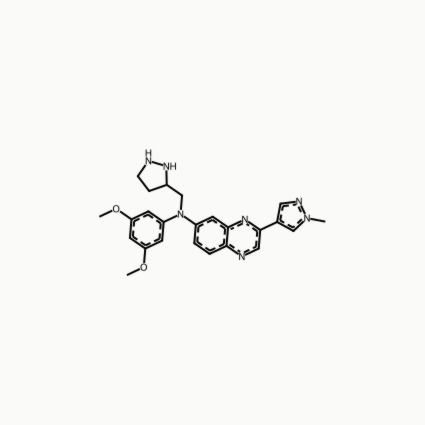 COc1cc(OC)cc(N(CC2CCNN2)c2ccc3ncc(-c4cnn(C)c4)nc3c2)c1